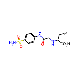 CC(C)CC(NCC(=O)Nc1ccc(S(N)(=O)=O)cc1)C(=O)O